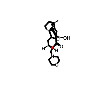 C[C@]12CCC[C@]3(C(=O)OC1)C2C[C@@H](O)[C@@]12CC[C@@H](CC31)[C@@H](CN1CCOCC1)C2=O